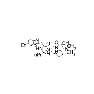 C=C(CN(C)C)C(=O)NC[C@H](CC1CCCCC1)NC(=O)[C@H](Cc1nc2ccc(CC)cc2s1)NC(=O)CCC